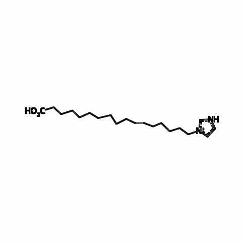 O=C(O)CCCCCCCCCCCCCCCC[n+]1cc[nH]c1